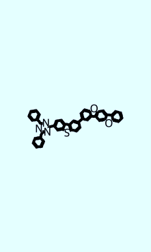 c1ccc(-c2nc(-c3ccccc3)nc(-c3ccc4c(c3)sc3ccc(-c5ccc6oc7cc8c(cc7c6c5)oc5ccccc58)cc34)n2)cc1